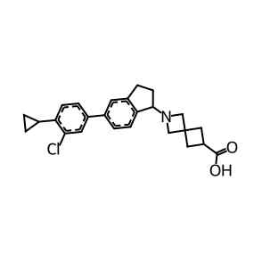 O=C(O)C1CC2(C1)CN(C1CCc3cc(-c4ccc(C5CC5)c(Cl)c4)ccc31)C2